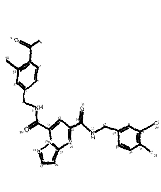 CC(=O)c1ccc(CNC(=O)c2cc(C(=O)NCc3ccc(F)c(Cl)c3)nc3ccnn23)cc1C